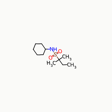 CCC(C)(C)S(=O)(=O)NC1CCCCC1